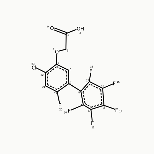 O=C(O)COc1cc(-c2c(F)c(F)c(F)c(F)c2F)c(F)cc1Cl